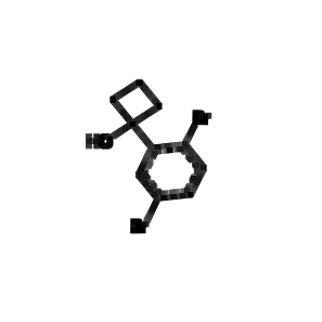 OC1(c2cc(Br)ccc2Br)CCC1